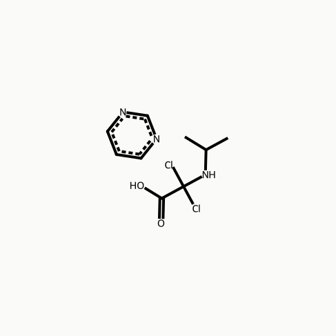 CC(C)NC(Cl)(Cl)C(=O)O.c1cncnc1